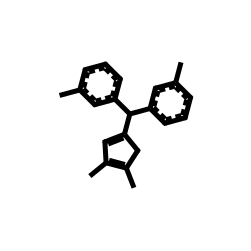 CC1=C(C)CC(C(c2cccc(C)c2)c2cccc(C)c2)=C1